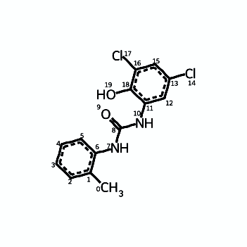 Cc1ccccc1NC(=O)Nc1cc(Cl)cc(Cl)c1O